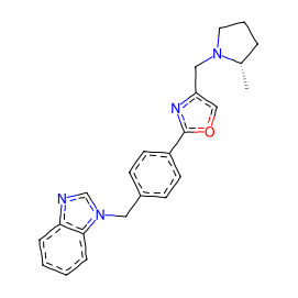 C[C@H]1CCCN1Cc1coc(-c2ccc(Cn3cnc4ccccc43)cc2)n1